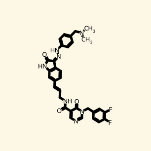 CN(C)Cc1ccc(N/N=C2\C(=O)Nc3cc(/C=C/CNC(=O)c4cncn(Cc5ccc(F)c(F)c5)c4=O)ccc32)cc1